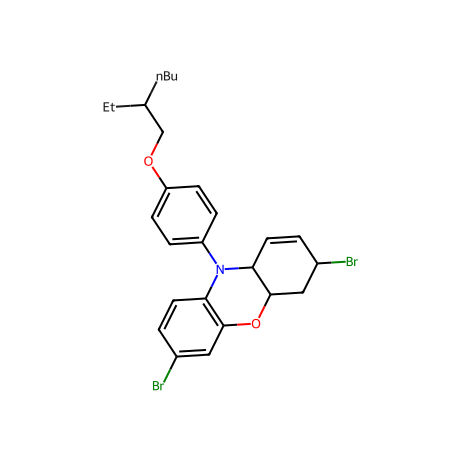 CCCCC(CC)COc1ccc(N2c3ccc(Br)cc3OC3CC(Br)C=CC32)cc1